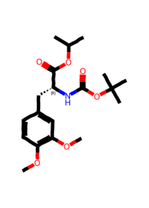 COc1ccc(C[C@@H](NC(=O)OC(C)(C)C)C(=O)OC(C)C)cc1OC